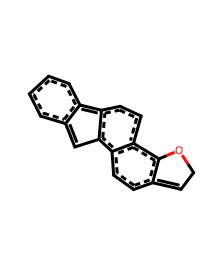 C1=c2ccc3c4c(ccc3c2OC1)=c1ccccc1=C4